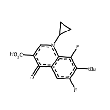 CC(C)(C)c1c(F)cc2c(=O)c(C(=O)O)cn(C3CC3)c2c1F